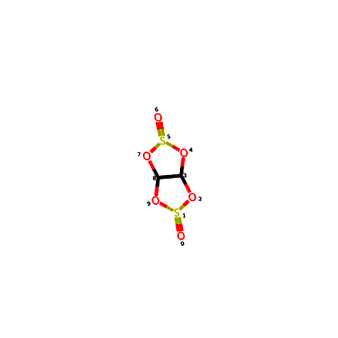 O=S1OC2OS(=O)OC2O1